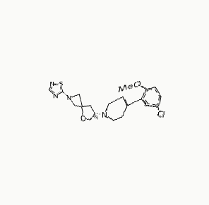 COc1ccc(Cl)cc1C1CCN([C@@H]2COC3(C2)CN(c2ncns2)C3)CC1